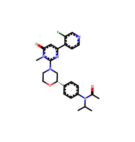 CC(=O)N(c1ccc([C@H]2CN(c3nc(-c4ccncc4F)cc(=O)n3C)CCO2)cc1)C(C)C